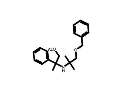 CC(=O)OCC(C)(NC(C)(C)COCc1ccccc1)c1ccccc1